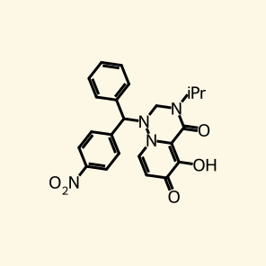 CC(C)N1CN(C(c2ccccc2)c2ccc([N+](=O)[O-])cc2)n2ccc(=O)c(O)c2C1=O